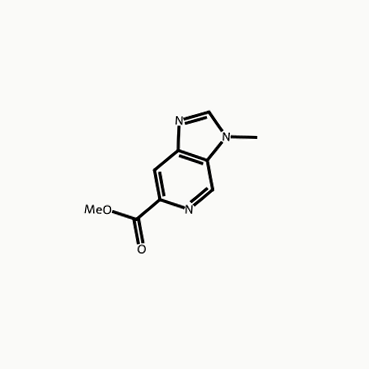 COC(=O)c1cc2ncn(C)c2cn1